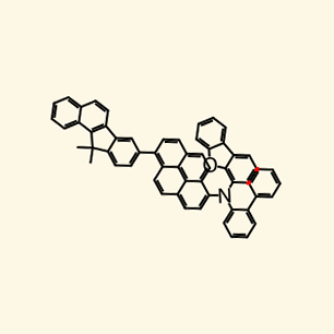 CC1(C)c2ccc(-c3ccc4ccc5c(N(c6ccccc6-c6ccccc6)c6cccc7c6oc6ccccc67)ccc6ccc3c4c65)cc2-c2ccc3ccccc3c21